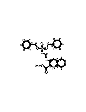 COC(=O)c1nc2ccccc2cc1OCOP(=O)(OCc1ccccc1)OCc1ccccc1